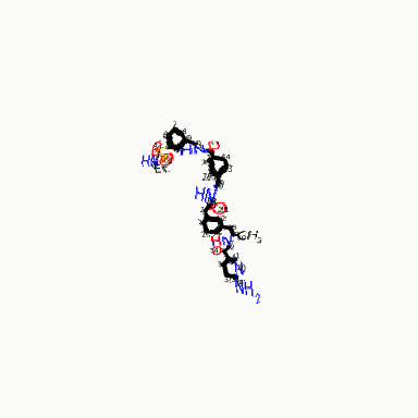 CCNS(=O)(=O)c1cccc(CNC(=O)c2ccc(CNC(=O)Cc3cccc(C[C@@H](C)NC[C@H](O)c4ccc(N)nc4)c3)cc2)c1